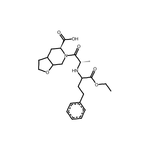 CCOC(=O)C(CCc1ccccc1)N[C@@H](C)C(=O)N1CC2OCCC2C[C@H]1C(=O)O